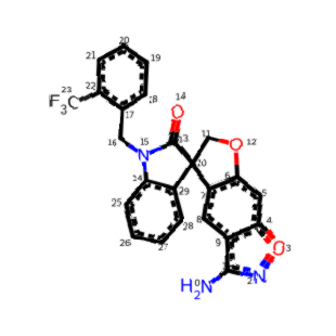 Nc1noc2cc3c(cc12)C1(CO3)C(=O)N(Cc2ccccc2C(F)(F)F)c2ccccc21